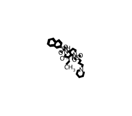 CCC[C@H]1C(=O)N(S(=O)(=O)c2ccc3ccccc3c2)[C@H]2CCN(S(=O)(=O)CCCN3CCCCC3)[C@H]12